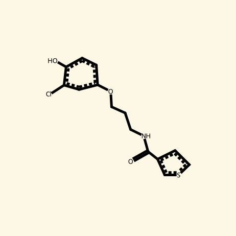 O=C(NCCCOc1ccc(O)c(Cl)c1)c1ccsc1